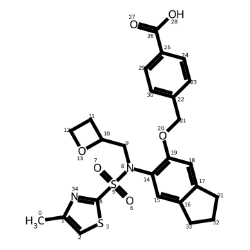 Cc1csc(S(=O)(=O)N(CC2CCO2)c2cc3c(cc2OCc2ccc(C(=O)O)cc2)CCC3)n1